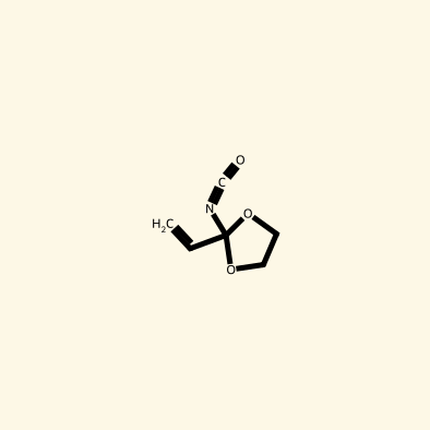 C=CC1(N=C=O)OCCO1